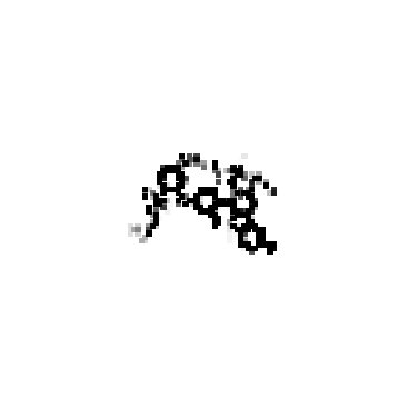 CCOS(=O)(=O)c1ccc(C)cc1Oc1cc(F)c(C2c3[nH]c4ccc(F)cc4c3CC(C)N2CC(C)(C)F)c(F)c1